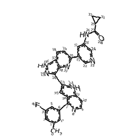 Cc1cc(F)cc(-c2nccc3[nH]c(-c4n[nH]c5ccc(-c6cncc(NC(=O)C7CC7)c6)nc45)cc23)c1